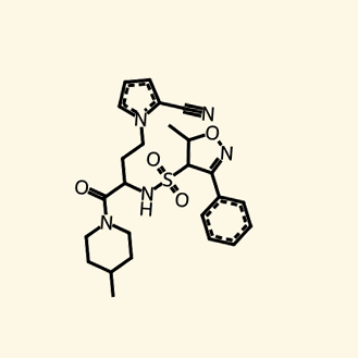 CC1CCN(C(=O)C(CCn2cccc2C#N)NS(=O)(=O)C2C(c3ccccc3)=NOC2C)CC1